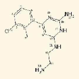 Cc1c(Cl)cccc1C1=CC(NCCN)NC(N)=N1